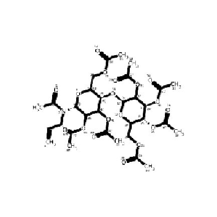 C=CCN(C(C)=O)[C@@H]1O[C@@H](COC(C)=O)[C@@H](O[C@@H]2OC(COC(C)=O)[C@@H](OC(C)=O)[C@H](OC(C)=O)C2OC(C)=O)C(OC(C)=O)C1OC(C)=O